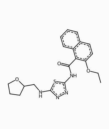 CCOc1ccc2ccccc2c1C(=O)Nc1nnc(NCC2CCCO2)s1